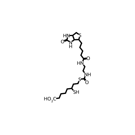 O=C(O)CCCCC(S)CCSC(=O)NCCNC(=O)CCCCC1SCC2NC(=O)NC21